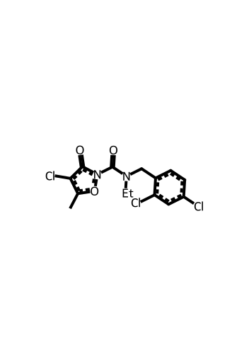 CCN(Cc1ccc(Cl)cc1Cl)C(=O)n1oc(C)c(Cl)c1=O